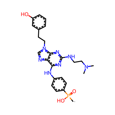 [CH2]P(=O)(O)c1ccc(Nc2nc(NCCN(C)C)nc3c2ncn3CCc2cccc(O)c2)cc1